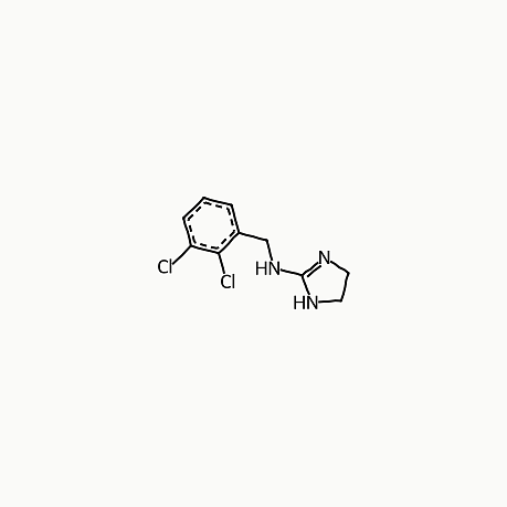 Clc1cccc(CNC2=NCCN2)c1Cl